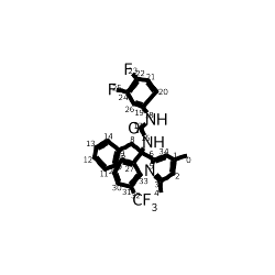 Cc1cc(C)nc(C(Cc2ccccc2)(NC(=O)Nc2ccc(F)c(F)c2)c2cccc(C(F)(F)F)c2)c1